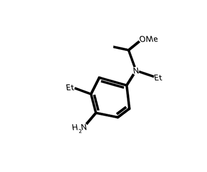 CCc1cc(N(CC)C(C)OC)ccc1N